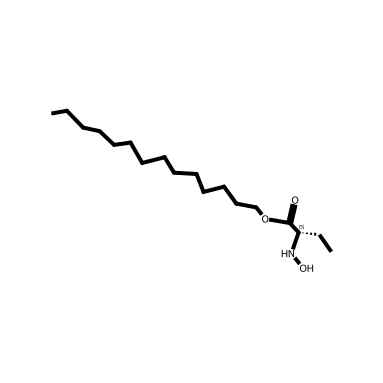 CCCCCCCCCCCCCCOC(=O)[C@H](CC)NO